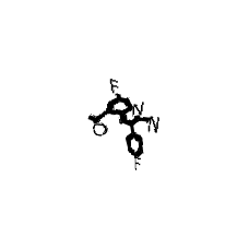 CC(=O)c1cc(F)cc2nc(C#N)c(-c3ccc(F)cc3)cc12